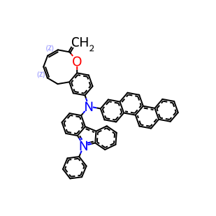 C=C1/C=C\C=C/Cc2cc(N(c3ccc4c(ccc5c6ccccc6ccc45)c3)c3cccc4c3c3ccccc3n4-c3ccccc3)ccc2O1